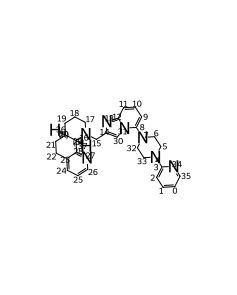 c1ccc(N2CCN(c3cccc4nc(CN5CCC[C@H]6CCc7cccnc7[C@H]65)cn34)CC2)nc1